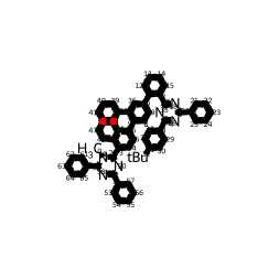 CN1C(c2ccc(-c3ccc(-c4ccccc4-c4nc(-c5ccccc5)nc(-c5ccc(C(C)(C)C)cc5)n4)cc3-c3ccccc3)c3ccccc23)=NC(c2ccccc2)=NC1c1ccccc1